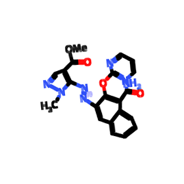 COC(=O)c1cnn(C)c1/N=N/c1cc2ccccc2c(C(N)=O)c1Oc1ncccn1